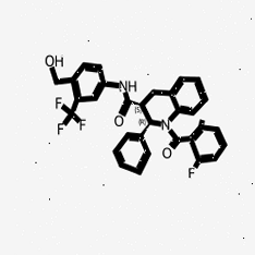 Cc1cccc(F)c1C(=O)N1c2ccccc2C[C@H](C(=O)Nc2ccc(CO)c(C(F)(F)F)c2)[C@@H]1c1ccccc1